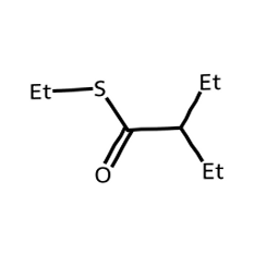 CCSC(=O)C(CC)CC